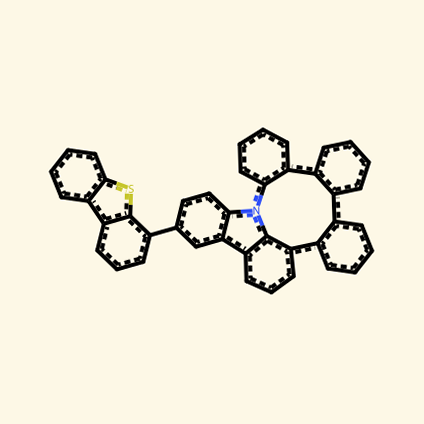 c1ccc2c(c1)sc1c(-c3ccc4c(c3)c3cccc5c6ccccc6c6ccccc6c6ccccc6n4c53)cccc12